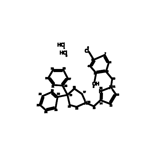 Cl.Cl.Oc1cc(Cl)ccc1Cn1ccc(CN2CCC(c3ccccc3)(c3ccccc3)CC2)n1